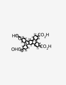 O=COc1ccc(-c2cc(-c3ccc(C(=O)O)cc3)c(-c3ccc(C(=O)O)cc3)cc2-c2ccc(OCO)cc2)cc1